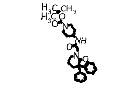 CC(C)(C)OC(=O)N1CCC(NC(=O)CN2CCCC(c3ccccc3)(c3ccccc3)C2=O)CC1